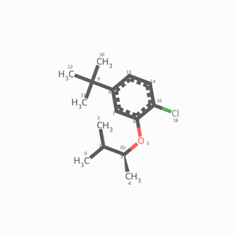 CC(C)[C@H](C)Oc1cc(C(C)(C)C)ccc1Cl